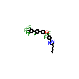 CCCCCc1cnc(-c2ccc(C(F)(F)Oc3ccc(-c4ccc(-c5cc(F)c(C(F)(F)F)c(F)c5)c(F)c4)cc3)c(F)c2)nc1